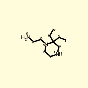 CCC1(CC)CNCCN1CCN